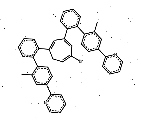 Cc1cc(-c2ccccn2)ccc1-c1ccccc1C1=CC(Br)=CCC(c2ccccc2-c2ccc(-c3ccccn3)cc2C)=C1